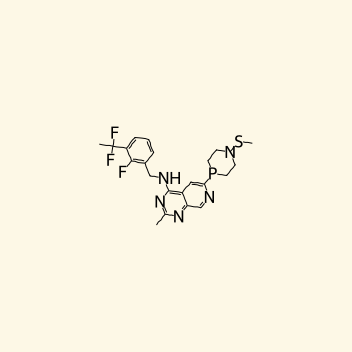 CSN1CCP(c2cc3c(NCc4cccc(C(C)(F)F)c4F)nc(C)nc3cn2)CC1